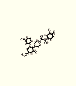 Cc1ccc(N2CCN(C(=O)C(O)c3ccc(F)c(F)c3)C[C@H]2c2ccc(Cl)cc2)c(Cl)c1